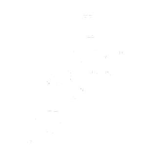 CN(C)C(=O)C(C)(Cc1ccccc1)c1ccnc2c(-c3ccc(Cl)cc3)cnn12